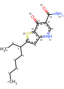 CCCCCC(CC)c1cc2[nH]cc(C(N)=O)c(=O)c2s1